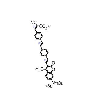 CCCCN(CCCC)c1ccc2c(C)c(/C=C/c3ccc(/C=C/c4ccc(/C=C(/C#N)C(=O)O)cc4)cc3)c(=O)oc2c1